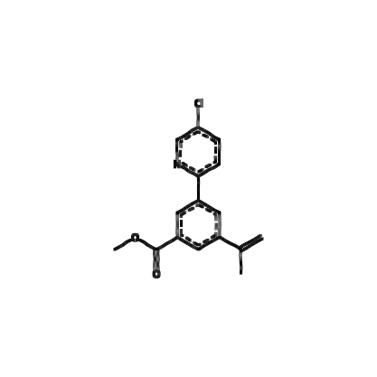 C=C(C)c1cc(C(=O)OC)cc(-c2ccc(Cl)cn2)c1